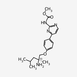 COC(=O)Nc1nccc(-c2ccc(OC[C@@](C)(N)CC(C)C)cc2)n1